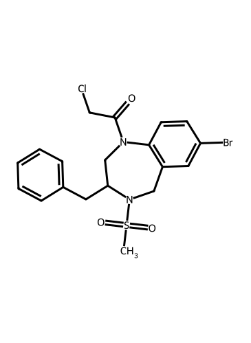 CS(=O)(=O)N1Cc2cc(Br)ccc2N(C(=O)CCl)CC1Cc1ccccc1